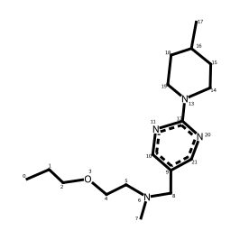 CCCOCCN(C)Cc1cnc(N2CCC(C)CC2)nc1